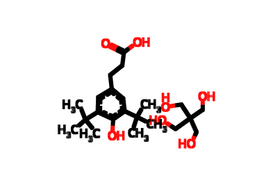 CC(C)(C)c1cc(CCC(=O)O)cc(C(C)(C)C)c1O.OCC(CO)(CO)CO